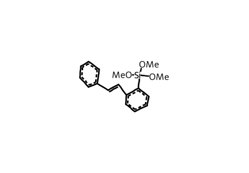 CO[Si](OC)(OC)c1ccccc1C=Cc1ccccc1